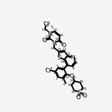 Cc1cc(Cl)cc(-c2ccnc3cc(Cn4c(=O)ccn(CC(F)(F)F)c4=O)sc23)c1OC1CCS(=O)(=O)CC1